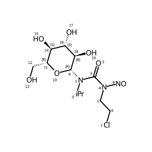 CC(C)N(C(=O)N(CCCl)N=O)[C@@H]1O[C@H](CO)[C@@H](O)[C@H](O)[C@H]1O